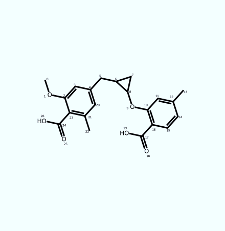 COc1cc(CC2CC2Oc2cc(C)ccc2C(=O)O)cc(C)c1C(=O)O